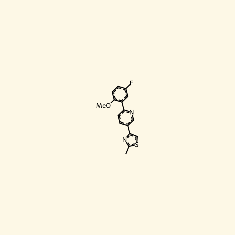 COc1ccc(F)cc1-c1ccc(-c2csc(C)n2)cn1